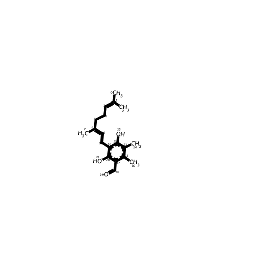 CC(C)=CCC/C(C)=C/Cc1c(O)c(C)c(C)c(C=O)c1O